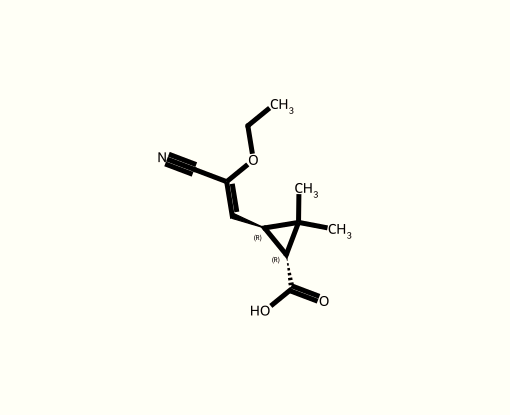 CCOC(C#N)=C[C@@H]1[C@@H](C(=O)O)C1(C)C